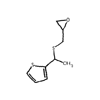 CC(SCC1CO1)c1cccs1